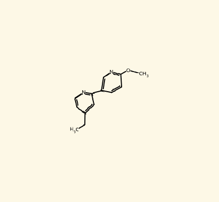 CCc1ccnc(-c2ccc(OC)nc2)c1